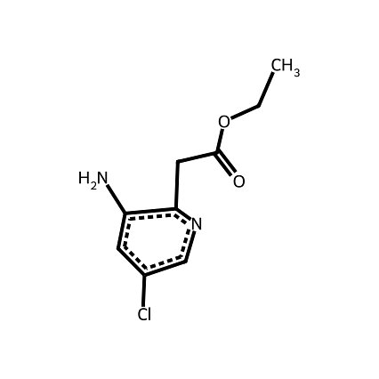 CCOC(=O)Cc1ncc(Cl)cc1N